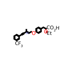 CCOC(Cc1ccc(OC/C=C(\C)C#Cc2cccc(C(F)(F)F)c2)cc1)C(=O)O